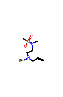 C=CCN(CCN(C)S(C)(=O)=O)C(C)C